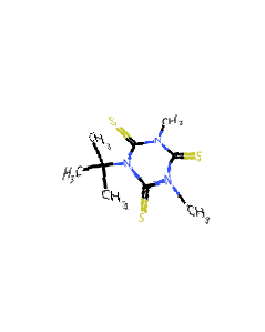 Cn1c(=S)n(C)c(=S)n(C(C)(C)C)c1=S